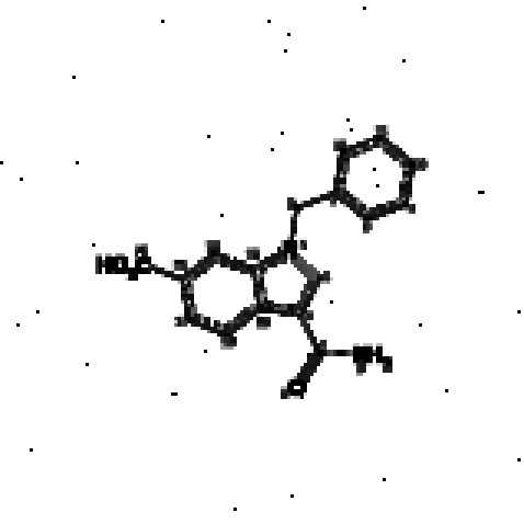 NC(=O)c1cn(Cc2ccccc2)c2cc(C(=O)O)ccc12